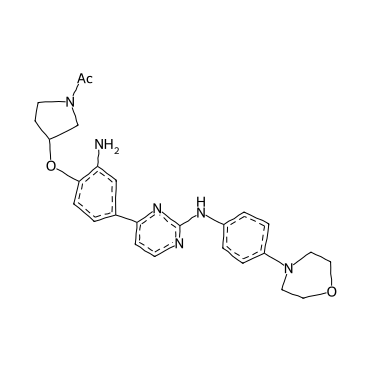 CC(=O)N1CCC(Oc2ccc(-c3ccnc(Nc4ccc(N5CCOCC5)cc4)n3)cc2N)C1